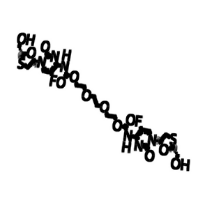 O=C(Nc1nc(=O)n([C@@H]2CS[C@H](CO)O2)cc1F)OCCOCCOCCOC(=O)Nc1nc(=O)n([C@@H]2CS[C@H](CO)O2)cc1F